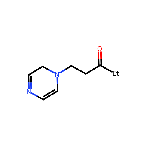 CCC(=O)CCN1C=CN=CC1